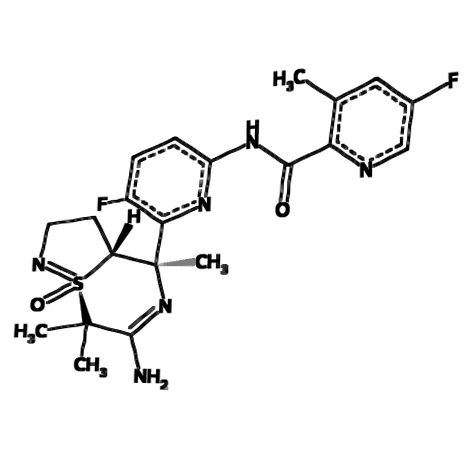 Cc1cc(F)cnc1C(=O)Nc1ccc(F)c([C@@]2(C)N=C(N)C(C)(C)[S@@]3(=O)=NCC[C@H]23)n1